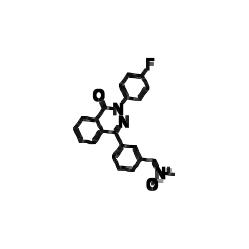 C/[N+]([O-])=C/c1cccc(-c2nn(-c3ccc(F)cc3)c(=O)c3ccccc23)c1